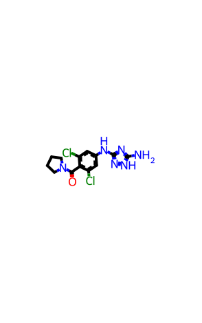 Nc1nc(Nc2cc(Cl)c(C(=O)N3CCCC3)c(Cl)c2)n[nH]1